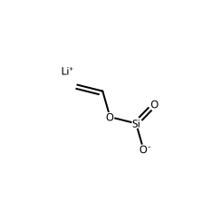 C=CO[Si](=O)[O-].[Li+]